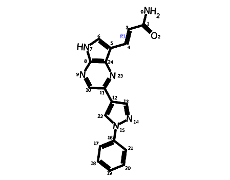 NC(=O)/C=C/c1c[nH]c2ncc(-c3cnn(-c4ccccc4)c3)nc12